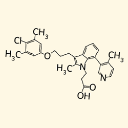 Cc1ccncc1-c1cccc2c(CCCOc3cc(C)c(Cl)c(C)c3)c(C)n(CCC(=O)O)c12